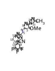 COc1cc(/C=C/c2nc3n(n2)CCC[C@@]3(C#N)c2cc(F)c(F)c(F)c2)cnc1-n1cnc(C)c1